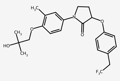 Cc1cc(N2CCC(Oc3ccc(CC(F)(F)F)cc3)C2=O)ccc1OCC(C)(C)O